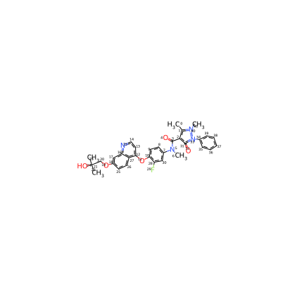 Cc1c(C(=O)N(C)c2ccc(Oc3ccnc4cc(OCC(C)(C)O)ccc34)c(F)c2)c(=O)n(-c2ccccc2)n1C